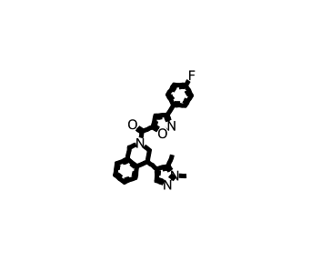 Cc1c(C2CN(C(=O)c3cc(-c4ccc(F)cc4)no3)Cc3ccccc32)cnn1C